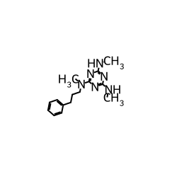 CNc1nc(NC)nc(N(C)CCCc2ccccc2)n1